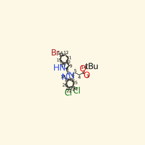 CC(C)(C)OC(=O)CCn1c(-c2cc3ccc(Br)cc3[nH]2)nc2cc(Cl)c(Cl)cc21